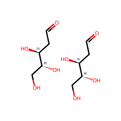 O=CC[C@H](O)[C@H](O)CO.O=CC[C@H](O)[C@H](O)CO